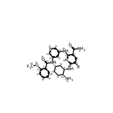 NC(=O)c1cc(F)c(N[C@@H]2CCCC[C@@H]2N)nc1Nc1cncc(NC(=O)c2ccccc2OC(F)(F)F)c1